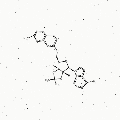 Cc1ccc2ccc(OC[C@H]3O[C@@H](n4ccc5c(N)ncnc54)[C@@H]4OC(C)(C)O[C@@H]43)cc2n1